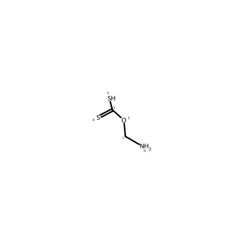 NCOC(=S)S